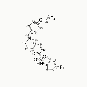 O=S(=O)(Nc1ccc(F)cc1)c1ccc2c(c1)CCN(Cc1ccc(OCC(F)(F)F)nc1)C2